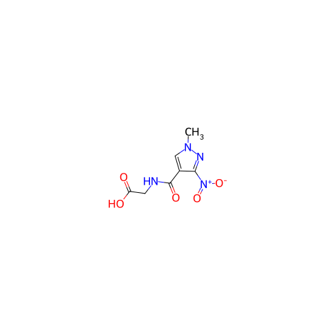 Cn1cc(C(=O)NCC(=O)O)c([N+](=O)[O-])n1